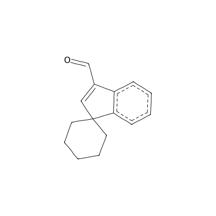 O=CC1=CC2(CCCCC2)c2ccccc21